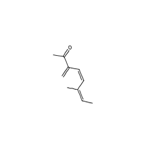 C=C(/C=C\C(C)=C/C)C(C)=O